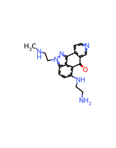 CNCCn1nc2c3c(c(NCCN)ccc31)C(=O)c1cnccc1-2